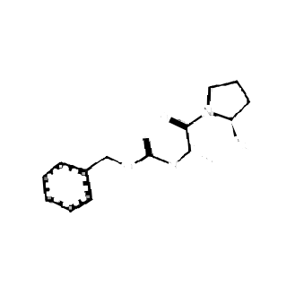 CC(=O)[C@@H]1CCCN1C(=O)[C@H](C)NC(=O)OCc1ccccc1